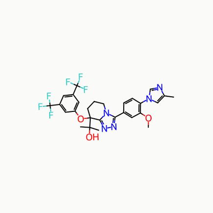 COc1cc(-c2nnc3n2CCCC3(Oc2cc(C(F)(F)F)cc(C(F)(F)F)c2)C(C)(C)O)ccc1-n1cnc(C)c1